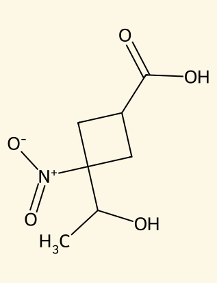 CC(O)C1([N+](=O)[O-])CC(C(=O)O)C1